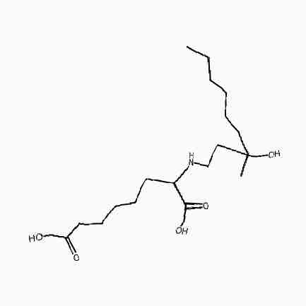 CCCCCCC(C)(O)CCNC(CCCCCC(=O)O)C(=O)O